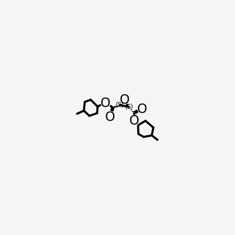 CC1CCC(OC(=O)[C@H]2O[C@@H]2C(=O)OC2CCC(C)CC2)CC1